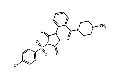 CN1CCN(C(=O)c2ccccc2N2CC(=O)N(S(=O)(=O)c3ccc(Cl)cc3)C2=O)CC1